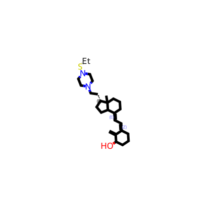 C=C1/C(=C\C=C2/CCCC3(C)C2CC[C@@H]3CCN2CCN(SCC)CC2)CCCC1O